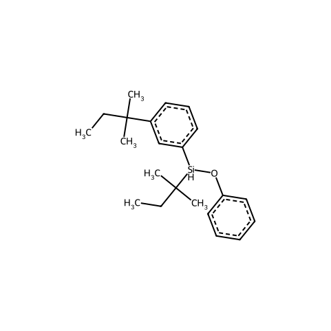 CCC(C)(C)c1cccc([SiH](Oc2ccccc2)C(C)(C)CC)c1